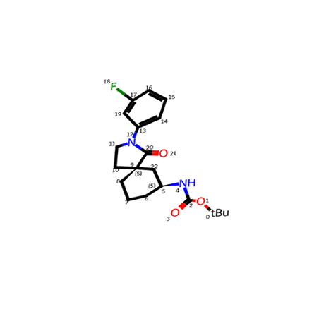 CC(C)(C)OC(=O)N[C@H]1CCC[C@]2(CCN(c3cccc(F)c3)C2=O)C1